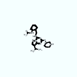 CC(=O)Nc1ccccc1CNc1nc(O[C@@H]2CCCNC2)nc2c(C(C)C)cnn12